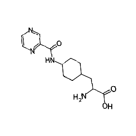 NC(CC1CCC(NC(=O)c2cnccn2)CC1)C(=O)O